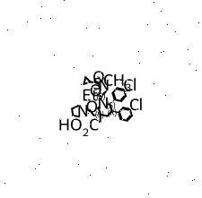 CC[C@@H](CN(C)S(=O)(=O)C1CC1)N1C(=O)[C@@](CCN2CCCC2)(CC(=O)O)C[C@H](c2cccc(Cl)c2)[C@H]1c1ccc(Cl)cc1